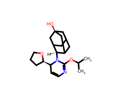 CC(C)OC1=NC=CC([C@H]2CCCO2)N1[C@H]1C2CC3CC1C[C@@](O)(C3)C2